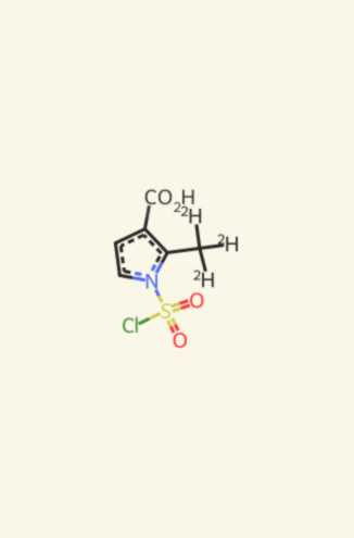 [2H]C([2H])([2H])c1c(C(=O)O)ccn1S(=O)(=O)Cl